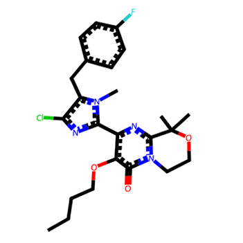 CCCCOc1c(-c2nc(Cl)c(Cc3ccc(F)cc3)n2C)nc2n(c1=O)CCOC2(C)C